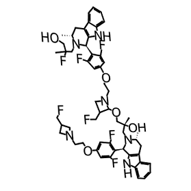 C[C@@H]1Cc2c([nH]c3ccccc23)[C@@H](c2c(F)cc(OCCN3CC(CF)C3OC[C@](C)(O)CN3[C@H](c4c(F)cc(OCCN5CC(CF)C5)cc4F)c4[nH]c5ccccc5c4C[C@H]3C)cc2F)N1CC(C)(F)CO